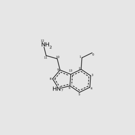 CCc1cccc2[nH]cc(CCN)c12